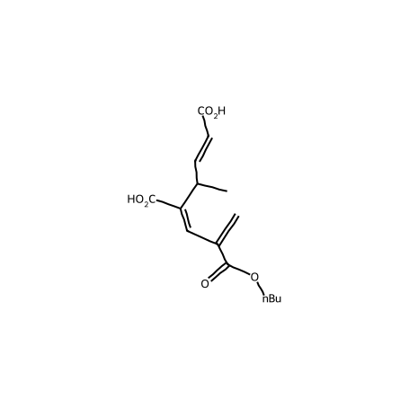 C=C(C=C(C(=O)O)C(C)C=CC(=O)O)C(=O)OCCCC